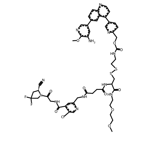 COCCOCCNC(=O)C(CSSCCNC(=O)OCc1ccc(-c2ccnc3ccc(-c4cnc(OC)c(N)c4)cc23)cn1)NC(=O)CCC(=O)NCc1cc(C(=O)NCC(=O)N2CC(F)(F)C[C@H]2C#N)c(Cl)cn1